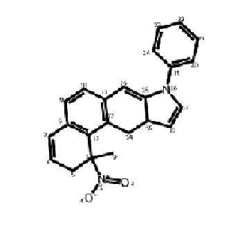 CC1([N+](=O)[O-])CC=Cc2ccc3c(c21)CC1C=CN(c2ccccc2)C1=C3